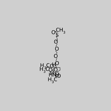 CC(=O)N[C@@H]1[C@H]2OC(C)(C)O[C@H]2[C@]2(COCCOCCOCCOCCSC(C)=O)CC[C@H]1O2